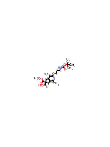 COC(=O)C1(C(=O)O)Cc2c(C)nc(OCCCNC(=O)OC(C)(C)C)c(C)c2C1